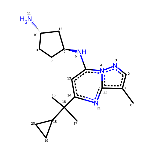 Cc1cnn2c(N[C@H]3CC[C@H](N)C3)cc(C(C)(C)C3CC3)nc12